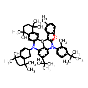 Cc1ccc2oc3c(c2c1)B1c2cc4c(cc2N(C2C=CC5=C(C2)C(C)(C)CCC5(C)C)c2cc(C(C)(C)C)cc(c21)N3c1ccc(C(C)(C)C)cc1C)C(C)(C)CCC4(C)C